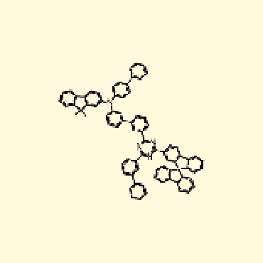 CC1(C)c2ccccc2-c2ccc(N(c3ccc(-c4ccccc4)cc3)c3cccc(-c4cccc(-c5nc(-c6cccc(-c7ccccc7)c6)nc(-c6ccc7c(c6)C6(c8ccccc8-c8ccccc86)c6ccccc6-7)n5)c4)c3)cc21